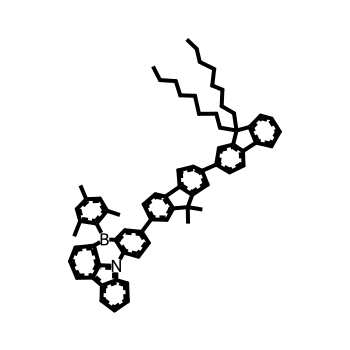 CCCCCCCCC1(CCCCCCCC)c2ccccc2-c2ccc(-c3ccc4c(c3)C(C)(C)c3cc(-c5ccc6c(c5)B(c5c(C)cc(C)cc5C)c5cccc7c8ccccc8n-6c57)ccc3-4)cc21